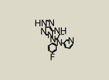 C[C@H](Nc1ncnc2[nH]cnc12)c1nc2ccc(F)cc2n1-c1cccnc1